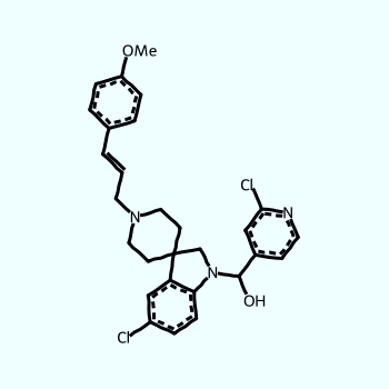 COc1ccc(/C=C/CN2CCC3(CC2)CN(C(O)c2ccnc(Cl)c2)c2ccc(Cl)cc23)cc1